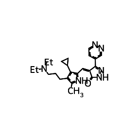 CCN(CC)CCCc1c(C)[nH]c(C=C2C(=O)NN=C2c2ccnnc2)c1C1CC1